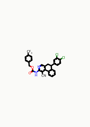 N#Cc1c(NC(=O)OCc2ccc(C(F)(F)F)cc2)ncc2c1-c1ccccc1C(c1ccc(Cl)c(Cl)c1)C2